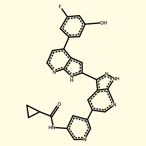 O=C(Nc1cncc(-c2cnc3[nH]nc(-c4cc5c(-c6cc(O)cc(F)c6)ccnc5[nH]4)c3c2)c1)C1CC1